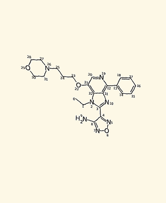 CCn1c(-c2nonc2N)nc2c(-c3ccccc3)ncc(OCCCN3CCOCC3)c21